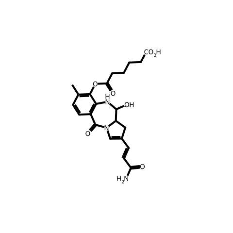 Cc1ccc2c(c1OC(=O)CCCCC(=O)O)NC(O)C1CC(C=CC(N)=O)=CN1C2=O